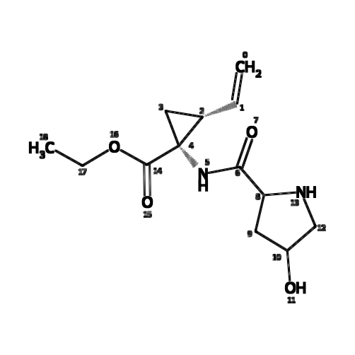 C=C[C@H]1C[C@]1(NC(=O)C1CC(O)CN1)C(=O)OCC